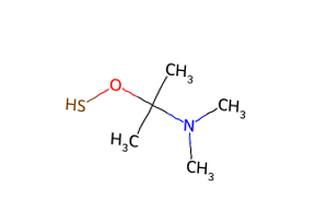 CN(C)C(C)(C)OS